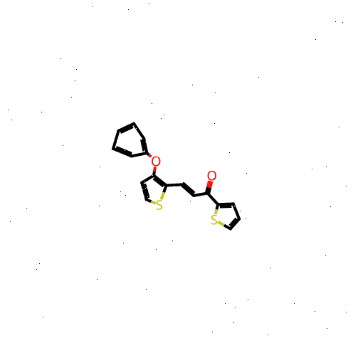 O=C(C=Cc1sccc1Oc1ccccc1)c1cccs1